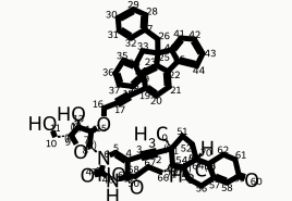 C[C@]1(C#Cc2cn([C@@H]3O[C@H](CO)[C@H](O)C3OCC#Cc3ccc4c(c3)C(Cc3ccccc3)(Cc3ccccc3)c3ccccc3-4)c(=O)[nH]c2=O)CC[C@H]2[C@@H](CCC3=CC(=O)CC[C@@]32C)[C@@H]1CCCO